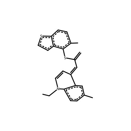 C=C(/C=C1\C=CN(CC)c2ccc(C)cc21)Sc1c(C)ccc2sccc12